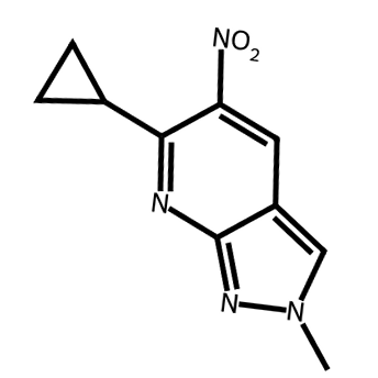 Cn1cc2cc([N+](=O)[O-])c(C3CC3)nc2n1